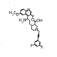 COc1ccc2ncc(F)c(C(N)CCC3CCN(CC#Cc4cc(F)cc(F)c4)CC3C(=O)O)c2c1